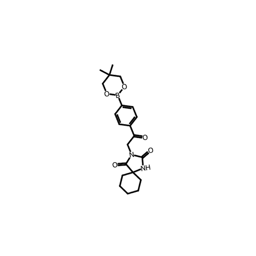 CC1(C)COB(c2ccc(C(=O)CN3C(=O)NC4(CCCCC4)C3=O)cc2)OC1